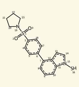 O=S(=O)(c1ccc(-c2cccc3c2ccn3S)cc1)N1CCCC1